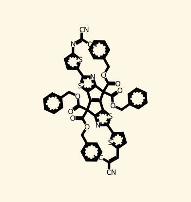 N#CC(C#N)=Cc1ccc(-c2nc3c(s2)C2=C(c4sc(-c5ccc(N=C(C#N)C#N)s5)nc4C2(C(=O)OCc2ccccc2)C(=O)OCc2ccccc2)C3(C(=O)OCc2ccccc2)C(=O)OCc2ccccc2)s1